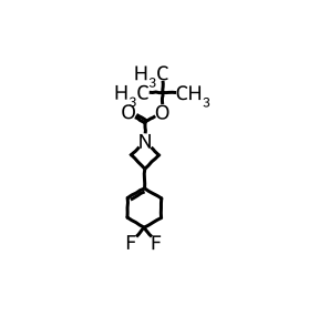 CC(C)(C)OC(=O)N1CC(C2=CCC(F)(F)CC2)C1